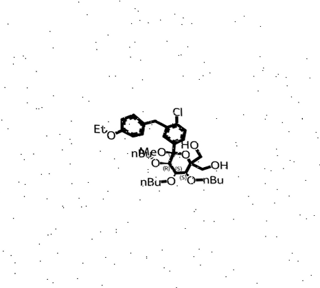 CCCCO[C@@H]1[C@@H](OCCCC)[C@](OC)(c2ccc(Cl)c(Cc3ccc(OCC)cc3)c2)OC(CO)(CO)[C@H]1OCCCC